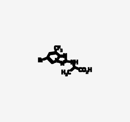 CC(Nc1nc2c(C(F)(F)F)cc(Br)cn2n1)C(=O)O